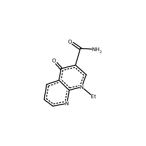 CCn1cc(C(N)=O)c(=O)c2cccnc21